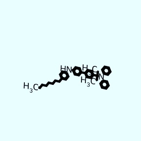 CCCCCCCCc1ccc(Nc2ccc(-c3ccc(C(CC)(CC)N(c4ccccc4)c4ccccc4)cc3)cc2)cc1